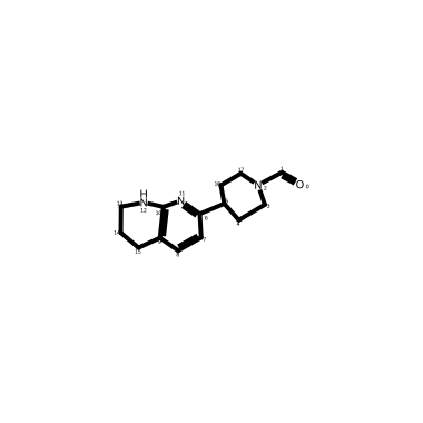 O=CN1CCC(c2ccc3c(n2)NCCC3)CC1